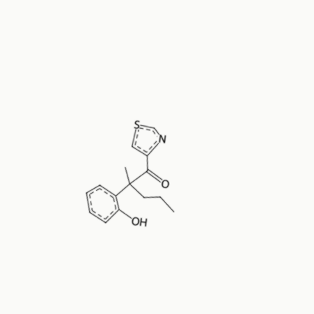 CCCC(C)(C(=O)c1cscn1)c1ccccc1O